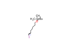 CC(C)(C)[Si](C)(C)OCCCCC/C=C/I